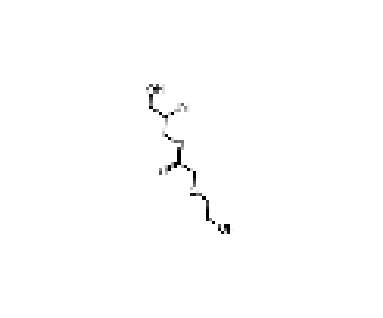 O=C(COCCO)OCC(O)CO